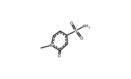 Cn1ccc(S(N)(=O)=O)cc1=O